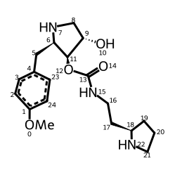 COc1ccc(C[C@H]2NC[C@H](O)[C@H]2OC(=O)NCC[C@H]2CCCN2)cc1